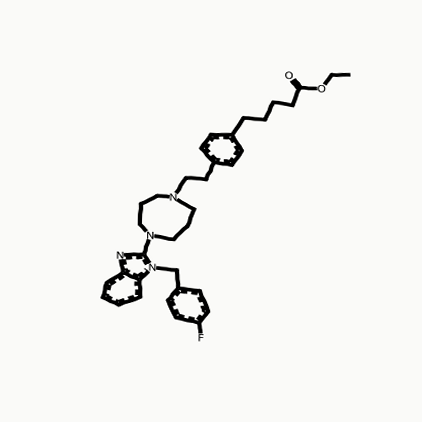 CCOC(=O)CCCCc1ccc(CCN2CCCN(c3nc4ccccc4n3Cc3ccc(F)cc3)CCC2)cc1